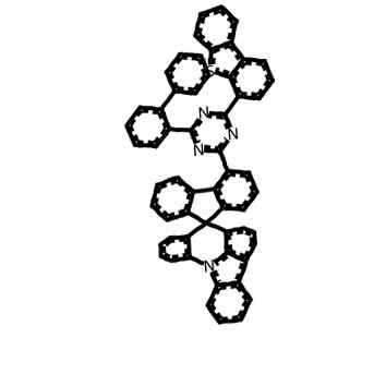 c1ccc(-c2ccccc2-c2nc(-c3cccc4c3-c3ccccc3C43c4ccccc4-n4c5ccccc5c5cccc3c54)nc(-c3cccc4c3sc3ccccc34)n2)cc1